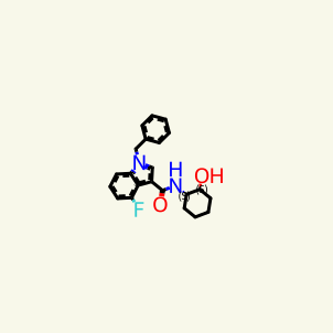 O=C(N[C@H]1CCCC[C@@H]1O)c1cn(Cc2ccccc2)c2cccc(F)c12